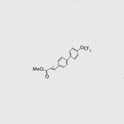 COC(=O)/C=C/c1ccc(-c2ccc(OC(F)(F)F)cc2)cc1